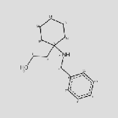 OCCC1(NCc2ccccc2)CCCCC1